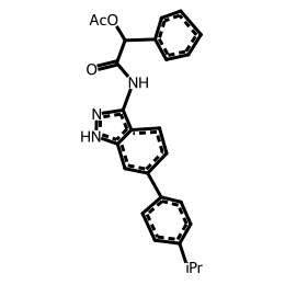 CC(=O)OC(C(=O)Nc1n[nH]c2cc(-c3ccc(C(C)C)cc3)ccc12)c1ccccc1